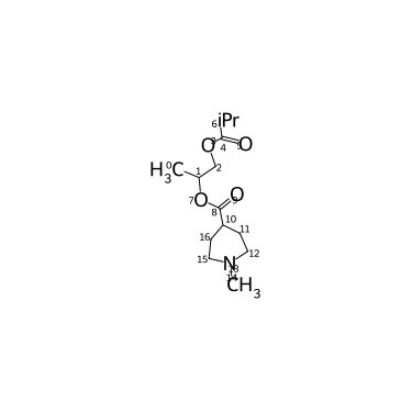 CC(COC(=O)C(C)C)OC(=O)C1CCN(C)CC1